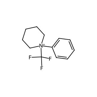 FC(F)(F)[N+]1(c2ccccc2)CCCCC1